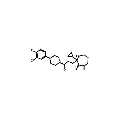 O=C(CCC1(C2CC2)NCOCNC1=O)N1CCN(c2ccc(F)c(Cl)c2)CC1